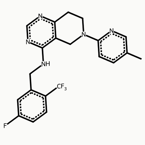 Cc1ccc(N2CCc3ncnc(NCc4cc(F)ccc4C(F)(F)F)c3C2)nc1